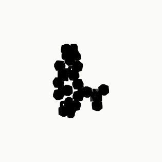 c1ccc(-c2nc(-c3ccccc3)nc(-c3ccc4c(c3)c3cc(-c5ccc6c(c5)C5(c7ccccc7Oc7ccccc75)c5ccccc5-6)ccc3n4-c3ccc(-c4cc(-c5nc(-c6ccccc6)nc(-c6cccc(-n7c8ccccc8c8ccccc87)c6)n5)c5oc6c(-c7ccc8c(c7)C7(c9ccccc9O8)c8ccccc8-c8ccccc87)cccc6c5c4)cc3)n2)cc1